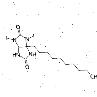 CCCCCCCCCCC12NC(=O)NC1N(I)C(=O)N2I